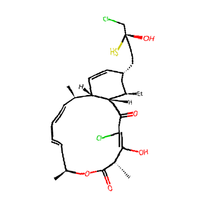 CC[C@H]1[C@@H]2C(=O)/C(Cl)=C(\O)[C@H](C)C(=O)O[C@@H](C)/C=C/C=C\[C@@H](C)[C@@H]2C=C[C@@H]1C[C@](O)(S)CCl